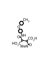 CNC(=O)C1C(C(=O)O)C1C1C(C(=O)O)C1C(=O)Nc1ccc(Oc2ccc(C)cc2)cc1